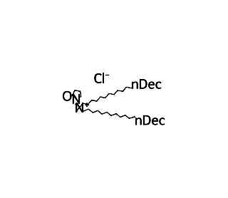 CCCCCCCCCCCCCCCCCCCCCC[N+](C)(CCCCCCCCCCCCCCCCCCCCCC)CN1CCCC1=O.[Cl-]